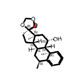 C[C@H]1C[C@@H]2[C@H]([C@@H](O)C[C@@]3(C)[C@H]2CC[C@@]32OCOC23COCO3)[C@@]2(C)C=C=CC=C12